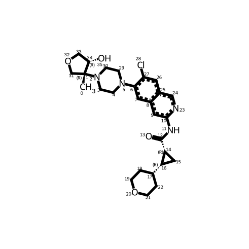 C[C@@]1(N2CCN(c3cc4cc(NC(=O)[C@@H]5C[C@@H]5C5CCOCC5)ncc4cc3Cl)CC2)COC[C@@H]1O